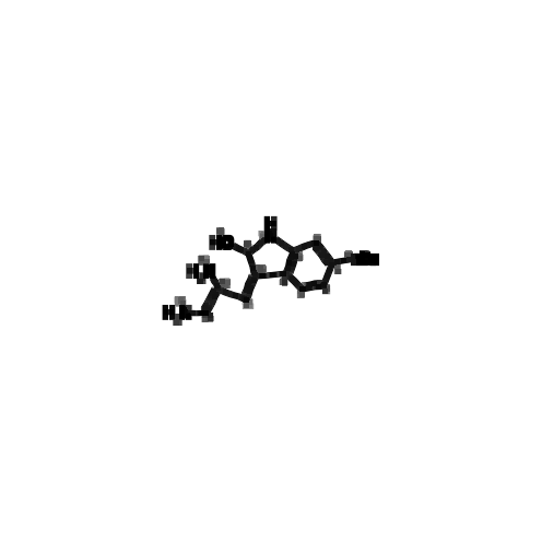 CCCCc1ccc2c(c1)NC(O)/C2=C\C(N)=C\N